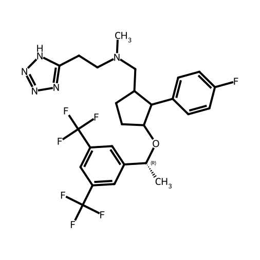 C[C@@H](OC1CCC(CN(C)CCc2nnn[nH]2)C1c1ccc(F)cc1)c1cc(C(F)(F)F)cc(C(F)(F)F)c1